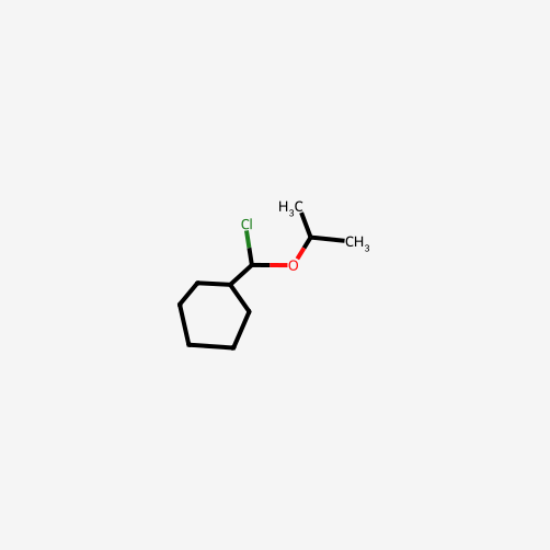 CC(C)OC(Cl)C1CCCCC1